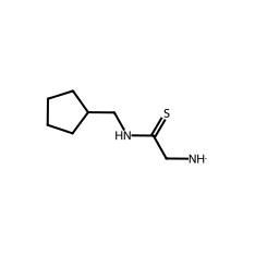 [NH]CC(=S)NCC1CCCC1